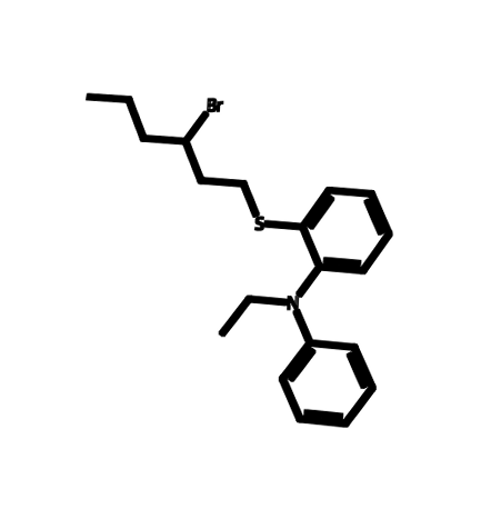 CCCC(Br)CCSc1ccccc1N(CC)c1ccccc1